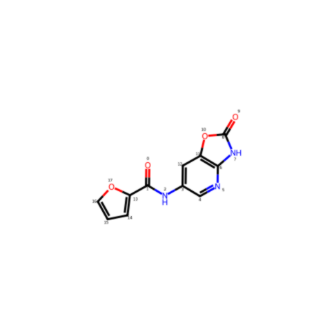 O=C(Nc1cnc2[nH]c(=O)oc2c1)c1ccco1